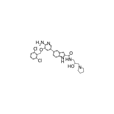 Nc1ncc(-c2ccc3[nH]c(C(=O)NCC(O)CN4CCCC4)cc3c2)cc1OCc1c(Cl)cccc1Cl